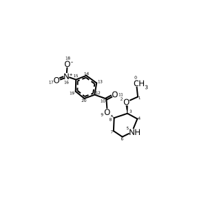 CCO[C@H]1CNCC[C@@H]1OC(=O)c1ccc([N+](=O)[O-])cc1